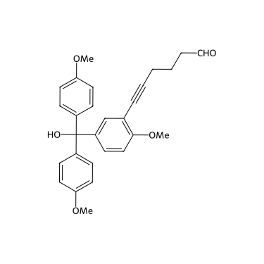 COc1ccc(C(O)(c2ccc(OC)cc2)c2ccc(OC)c(C#CCCCC=O)c2)cc1